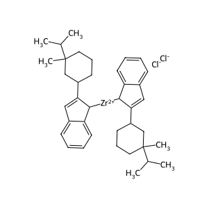 CC(C)C1(C)CCCC(C2=Cc3ccccc3[CH]2[Zr+2][CH]2C(C3CCCC(C)(C(C)C)C3)=Cc3ccccc32)C1.[Cl-].[Cl-]